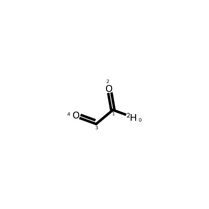 [2H]C(=O)C=O